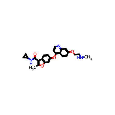 CNCCOc1ccc2c(Oc3ccc4c(C(=O)NC5CC5)c(C)oc4c3)ccnc2c1